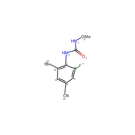 CONC(=O)Nc1c(F)cc(C#N)cc1C(C)(C)C